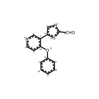 O=Cc1ncc(-c2cnccc2Oc2ccccc2)s1